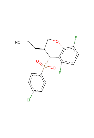 N#CCC[C@H]1COc2c(F)ccc(F)c2[C@@H]1S(=O)(=O)c1ccc(Cl)cc1